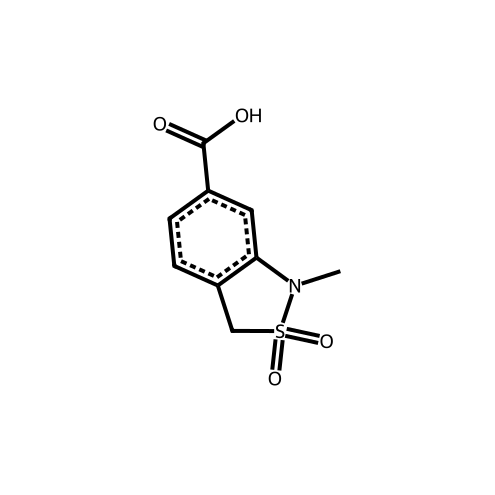 CN1c2cc(C(=O)O)ccc2CS1(=O)=O